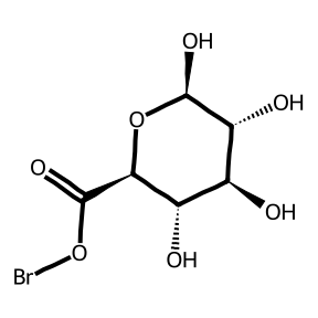 O=C(OBr)[C@H]1O[C@@H](O)[C@H](O)[C@@H](O)[C@@H]1O